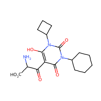 NC(C(=O)O)C(=O)c1c(O)n(C2CCC2)c(=O)n(C2CCCCC2)c1=O